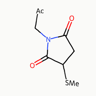 CSC1CC(=O)N(CC(C)=O)C1=O